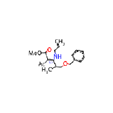 C=CCN/C(=C(/C(C)=O)C(=O)OC)C(C)COCc1ccccc1